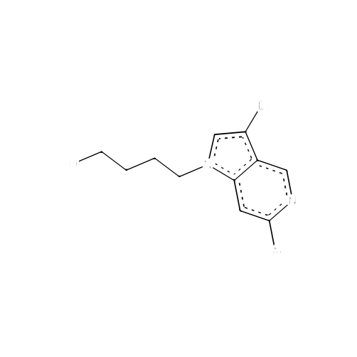 CCc1cn(CCCCO)c2cc(C(C)=O)ncc12